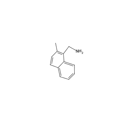 Cc1ccc2ccccc2c1CN